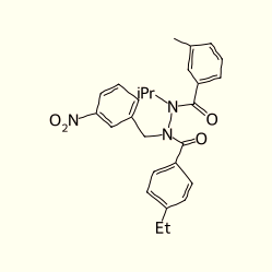 CCc1ccc(C(=O)N(Cc2cccc([N+](=O)[O-])c2)N(C(=O)c2cccc(C)c2)C(C)C)cc1